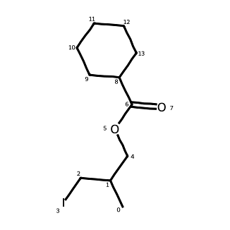 CC(CI)COC(=O)C1CCCCC1